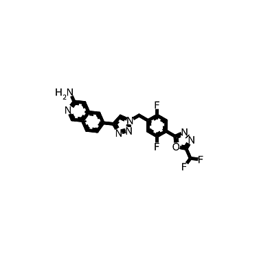 Nc1cc2cc(-c3cn(Cc4cc(F)c(-c5nnc(C(F)F)o5)cc4F)nn3)ccc2cn1